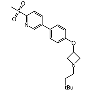 CC(C)(C)CCN1CC(Oc2ccc(-c3ccc(S(C)(=O)=O)nc3)cc2)C1